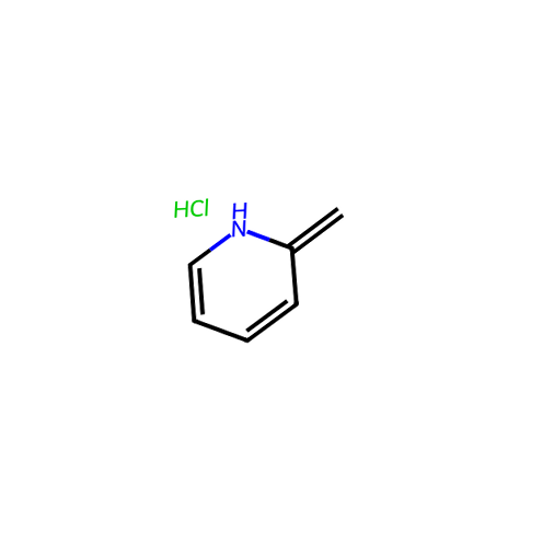 C=C1C=CC=CN1.Cl